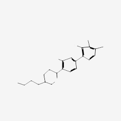 CCCCC1CCC(c2ccc(-c3ccc(C)c(F)c3F)cc2F)OC1